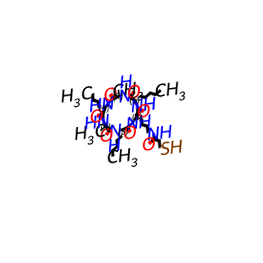 CCCCC[C@@H]1NC(=O)[C@@H](C)NC(=O)[C@H](CCCCC)NC(=O)[C@@H](CCCCNC(=O)CCS)NC(=O)[C@H](CCCCC)NC(=O)[C@@H](C)NC1=O